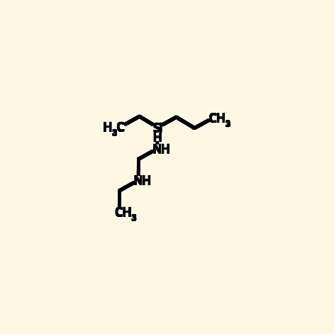 CCC[SiH](CC)NCNCC